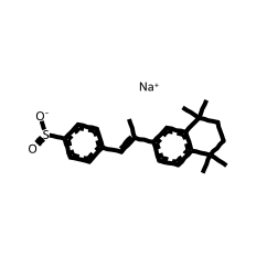 C/C(=C\c1ccc(S(=O)[O-])cc1)c1ccc2c(c1)C(C)(C)CCC2(C)C.[Na+]